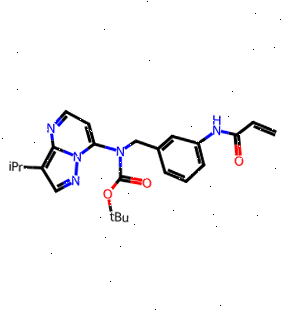 C=CC(=O)Nc1cccc(CN(C(=O)OC(C)(C)C)c2ccnc3c(C(C)C)cnn23)c1